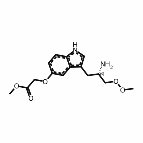 COOC[C@@H](N)Cc1c[nH]c2ccc(OCC(=O)OC)cc12